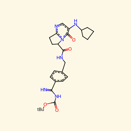 CC(C)(C)OC(=O)NC(=N)c1ccc(CNC(=O)C2CCc3ncc(NC4CCCC4)c(=O)n32)cc1